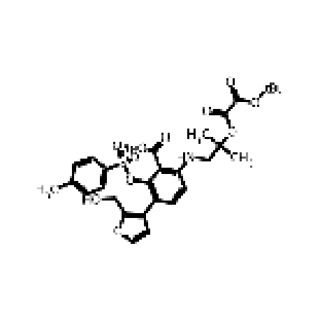 COC(=O)c1c(NCC(C)(C)OC(=O)C(=O)OC(C)(C)C)ccc(-c2ccoc2CO)c1OS(=O)(=O)c1ccc(C)cc1